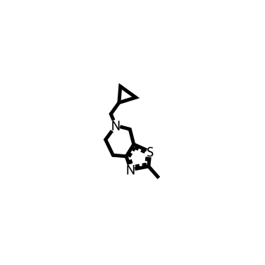 Cc1nc2c(s1)CN(CC1CC1)CC2